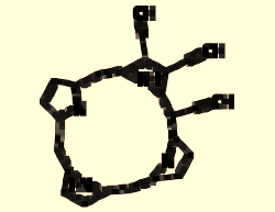 C#Cc1c(C#C)c2[nH]c1cc1nc(cc3ccc(cc4nc(c2C#C)C=C4)[nH]3)C=C1